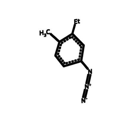 CCc1cc(N=[N+]=[N-])ccc1C